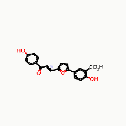 O=C(/C=C/c1ccc(-c2ccc(O)c(C(=O)O)c2)o1)c1ccc(O)cc1